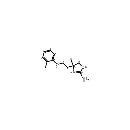 Cc1ccccc1OCCC1(C)COC(N)=N1